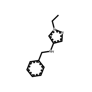 CCn1cc(NCc2ccccc2)cn1